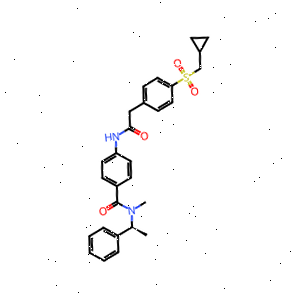 C[C@@H](c1ccccc1)N(C)C(=O)c1ccc(NC(=O)Cc2ccc(S(=O)(=O)CC3CC3)cc2)cc1